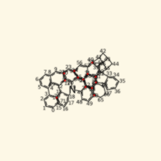 c1ccc(-c2cccc3cccc(-c4ccccc4N(c4ccccc4-c4ccc5c(c4)C4(c6ccccc6-5)C5CC6CC7CC4C675)c4ccccc4-c4cccc5cccc(C6CCCCC6)c45)c23)cc1